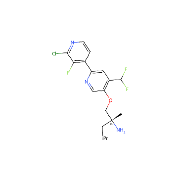 CC(C)C[C@@](C)(N)COc1cnc(-c2ccnc(Cl)c2F)cc1C(F)F